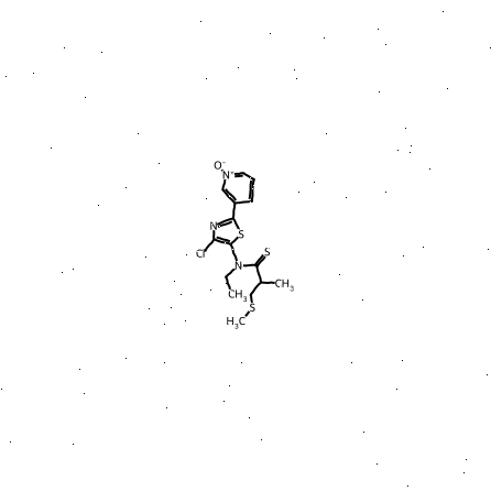 CCN(C(=S)C(C)CSC)c1sc(-c2ccc[n+]([O-])c2)nc1Cl